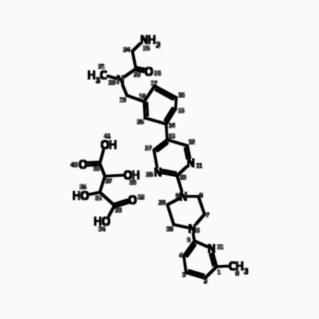 Cc1cccc(N2CCN(c3ncc(-c4cccc(CN(C)C(=O)CN)c4)cn3)CC2)n1.O=C(O)C(O)C(O)C(=O)O